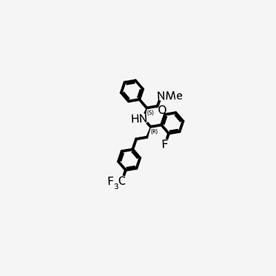 CNC(=O)[C@@H](N[C@H](CCc1ccc(C(F)(F)F)cc1)c1ccccc1F)c1ccccc1